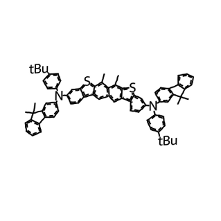 Cc1c2sc3cc(N(c4ccc(C(C)(C)C)cc4)c4ccc5c(c4)C(C)(C)c4ccccc4-5)ccc3c2cc2cc3c(sc4cc(N(c5ccc(C(C)(C)C)cc5)c5ccc6c(c5)C(C)(C)c5ccccc5-6)ccc43)c(C)c12